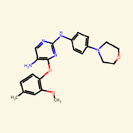 COc1cc(C)ccc1Oc1nc(Nc2ccc(N3CCOCC3)cc2)ncc1N